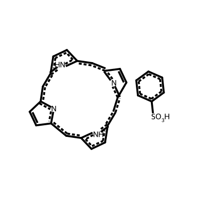 C1=Cc2cc3ccc(cc4nc(cc5ccc(cc1n2)[nH]5)C=C4)[nH]3.O=S(=O)(O)c1ccccc1